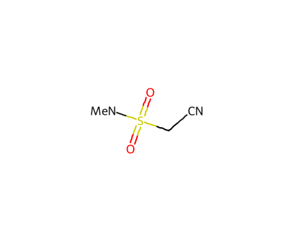 CNS(=O)(=O)CC#N